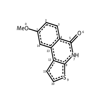 COc1ccc2c(=O)[nH]c3sccc3c2c1